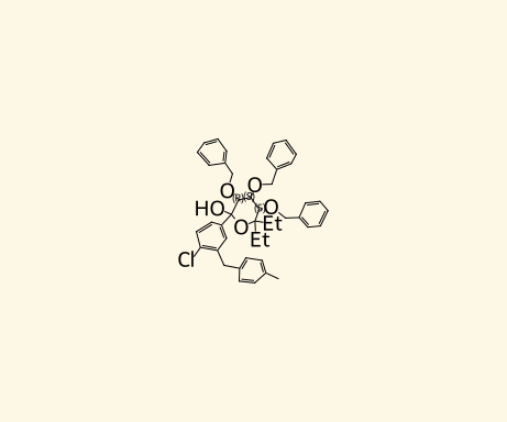 CCC1(CC)OC(O)(c2ccc(Cl)c(Cc3ccc(C)cc3)c2)[C@H](OCc2ccccc2)[C@@H](OCc2ccccc2)[C@@H]1OCc1ccccc1